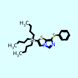 CCC[CH2][Sn]([CH2]CCC)([CH2]CCC)[c]1cn2cnc(Sc3ccccc3)c2s1